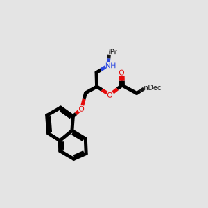 CCCCCCCCCCCC(=O)OC(CNC(C)C)COc1cccc2ccccc12